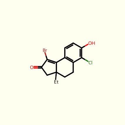 CCC12CCc3c(ccc(O)c3Cl)C1=C(Br)C(=O)C2